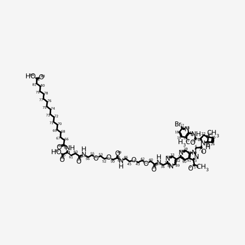 CC(=O)c1nn(CC(=O)N2[C@H](C(=O)Nc3nc(Br)ccc3C)C[C@@]3(C)C#C[C@@H]23)c2cnc(-c3cnc(CNC(=O)COCCOCCNC(=O)COCCOCCNC(=O)CC[C@H](NC(=O)CCCCCCCCCCCCCCCCC(=O)O)C(=O)O)nc3)cc12